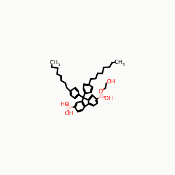 CCCCCCCCc1ccc(C2(c3ccc(CCCCCCCC)cc3)c3cc(B(O)O)ccc3-c3ccc(B(O)OCCO)cc32)cc1